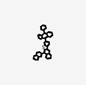 c1ccc(-c2c3ccccc3c(-c3ccc4c(c3)sc3c(-c5ccc6ccccc6c5)c5ccccc5cc34)c3ccccc23)cc1